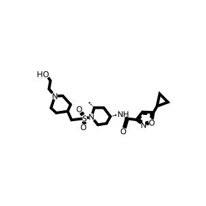 C[C@@H]1C[C@H](NC(=O)c2cc(C3CC3)on2)CCN1S(=O)(=O)CC1CCN(CCO)CC1